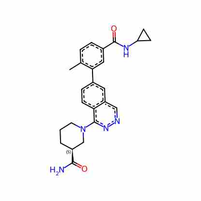 Cc1ccc(C(=O)NC2CC2)cc1-c1ccc2c(N3CCC[C@H](C(N)=O)C3)nncc2c1